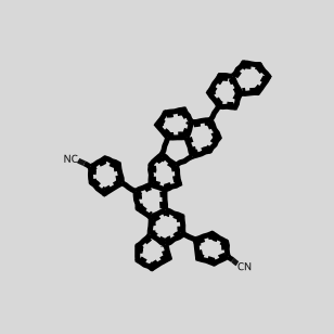 N#Cc1ccc(-c2cc3c4cc5c(cc4c(-c4ccc(C#N)cc4)cc3c3ccccc23)-c2cccc3c(-c4ccc6ccccc6c4)ccc-5c23)cc1